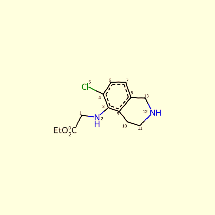 CCOC(=O)CNc1c(Cl)ccc2c1CCNC2